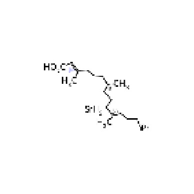 C/C(=C\C(=O)O)CCC[C@H](C)CCC[C@H](C)CCCC(C)C.[SrH2]